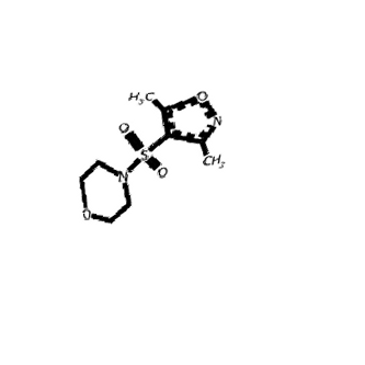 Cc1noc(C)c1S(=O)(=O)N1CCOCC1